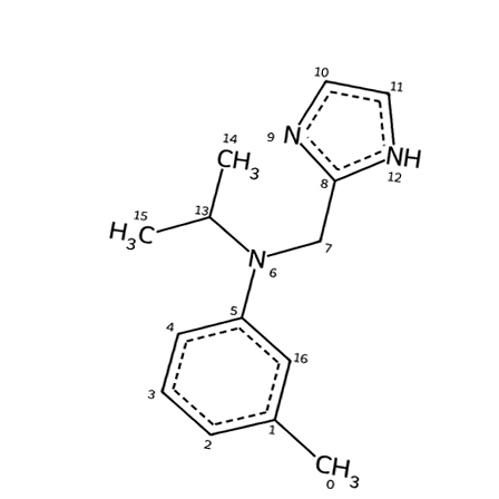 Cc1cccc(N(Cc2ncc[nH]2)C(C)C)c1